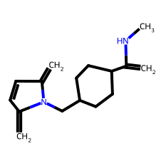 C=C(NC)C1CCC(Cn2c(=C)ccc2=C)CC1